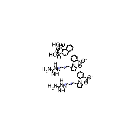 N=C(N)N/N=C/C=C/c1cccn1-c1ccccc1[N+](=O)[O-].N=C(N)N/N=C/C=C/c1cccn1-c1ccccc1[N+](=O)[O-].O=S(=O)(O)c1ccc2ccccc2c1S(=O)(=O)O